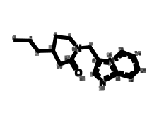 CCCC1CCN(Cc2cnc3ccccn23)C(=O)C1